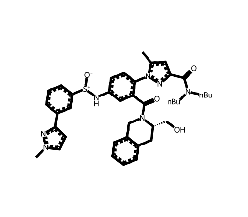 CCCCN(CCCC)C(=O)c1cc(C)n(-c2ccc(N[S+]([O-])c3cccc(-c4ccn(C)n4)c3)cc2C(=O)N2Cc3ccccc3C[C@H]2CO)n1